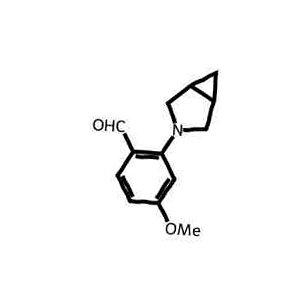 COc1ccc(C=O)c(N2CC3CC3C2)c1